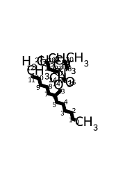 CCCCCCC(CCCCCC)COC(=O)N(CC(C)C)C(C)(C)CC(C)C